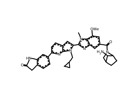 COc1cc(C(=O)N2CC3CCC2C3N)cc2nc(-c3cc4ccc(-c5ccc6c(c5)NC(=O)C6)nc4n3CC3CC3)n(C)c12